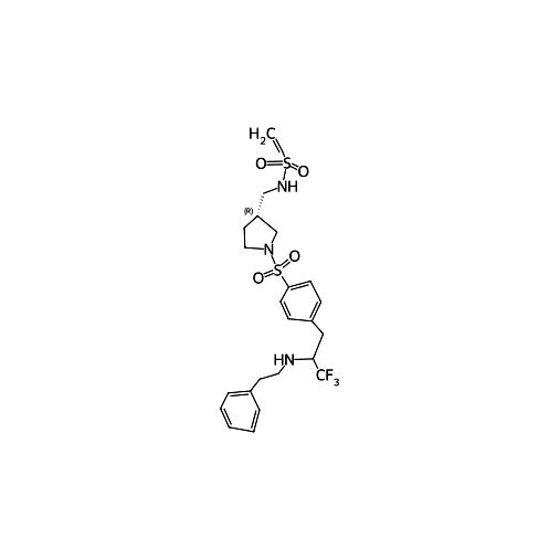 C=CS(=O)(=O)NC[C@H]1CCN(S(=O)(=O)c2ccc(CC(NCCc3ccccc3)C(F)(F)F)cc2)C1